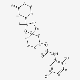 C=C1CCCC(C2(C)OOC3(CCCC(OC(=O)Nc4cc(Cl)ccc4Cl)C3)O2)C1